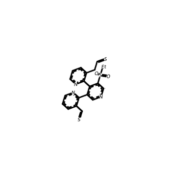 CCS(=O)(=O)c1[c]ncc(-c2ncccc2C=S)c1-c1ncccc1CC=S